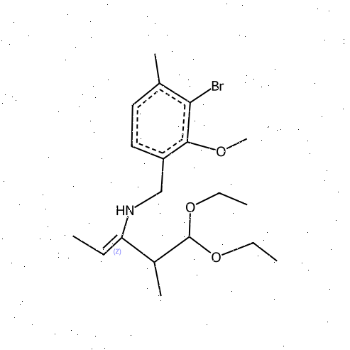 C/C=C(\NCc1ccc(C)c(Br)c1OC)C(C)C(OCC)OCC